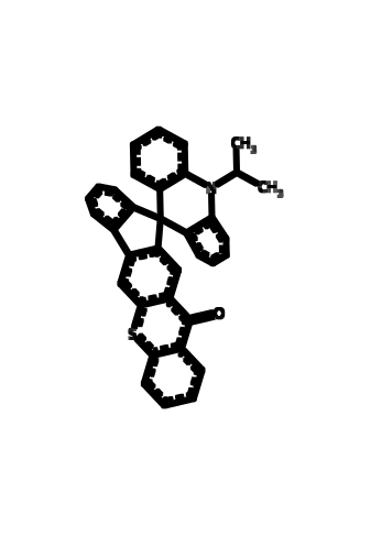 CC(C)N1c2ccccc2C2(c3ccccc3-c3cc4sc5ccccc5c(=O)c4cc32)c2ccccc21